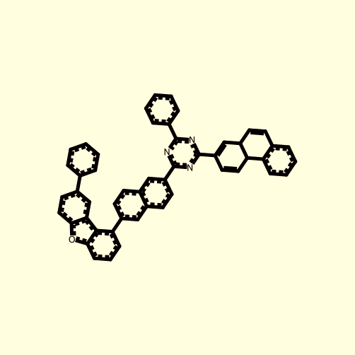 C1=CC2c3ccccc3C=CC2C=C1c1nc(-c2ccccc2)nc(-c2ccc3cc(-c4cccc5oc6ccc(-c7ccccc7)cc6c45)ccc3c2)n1